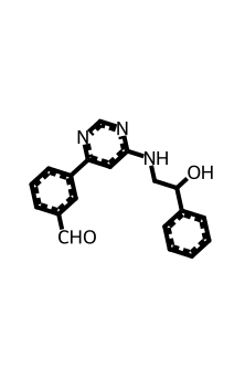 O=Cc1cccc(-c2cc(NCC(O)c3ccccc3)ncn2)c1